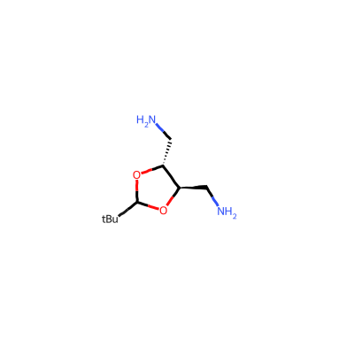 CC(C)(C)C1O[C@H](CN)[C@@H](CN)O1